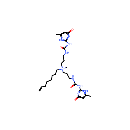 C=CCCCCCC[N+](C)(CCCNC(=O)Nc1nc(=O)cc(C)[nH]1)CCCNC(=O)Nc1nc(=O)cc(C)[nH]1